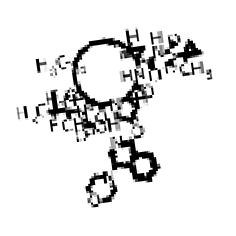 C[C@@H]1CCC=C[C@@H]2C[C@@]2(C(=O)NS(=O)(=O)C2(C)CC2)NC(=O)[C@@H]2C[C@@H](Oc3ncc(N4CCOCC4)c4ccccc34)CN2C(=O)[C@@H](N(C(=O)O)C(C)(C)C(C)(F)F)[C@H](C)C1